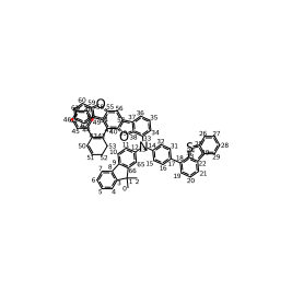 CC1(C)c2ccccc2-c2ccc(N(c3ccc(-c4cccc5c4sc4ccccc45)cc3)c3cccc4c3oc3c(C5=C(c6ccccc6)C=CCC5)c5c(cc34)oc3ccccc35)cc21